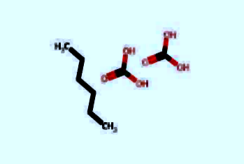 CCCCCC.O=C(O)O.O=C(O)O